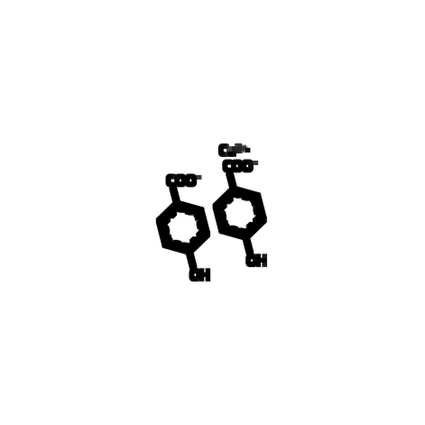 O=C([O-])c1ccc(O)cc1.O=C([O-])c1ccc(O)cc1.[Cu+2]